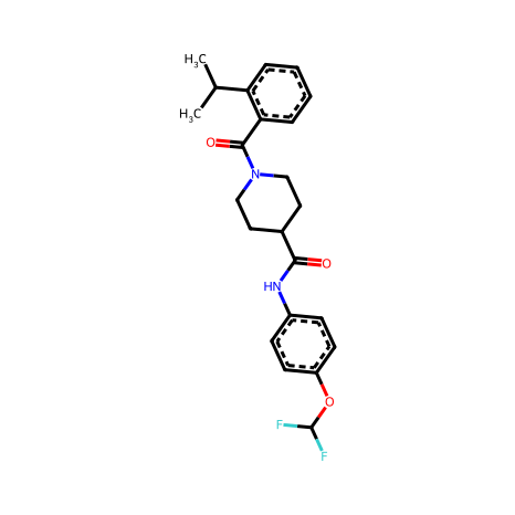 CC(C)c1ccccc1C(=O)N1CCC(C(=O)Nc2ccc(OC(F)F)cc2)CC1